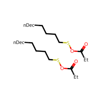 CCCCCCCCCCCCCCSOC(=O)CC.CCCCCCCCCCCCCCSOC(=O)CC